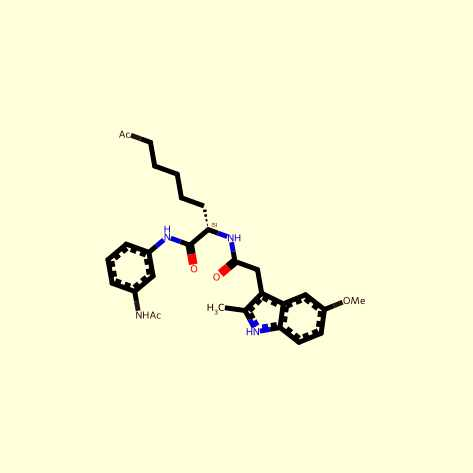 COc1ccc2[nH]c(C)c(CC(=O)N[C@@H](CCCCCC(C)=O)C(=O)Nc3cccc(NC(C)=O)c3)c2c1